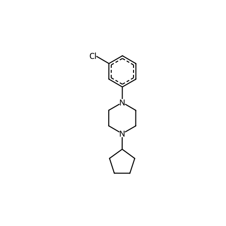 Clc1cccc(N2CCN(C3CCCC3)CC2)c1